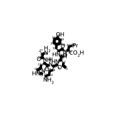 C=CC[C@H](NC(=O)[C@H](CCCCN)NC(=O)[C@H](Cc1c[nH]cn1)NC(=O)[C@H](C)N)C(=O)N[C@@H](Cc1ccc(O)cc1)C(=O)N[C@@H](CC(C)C)C(=O)O